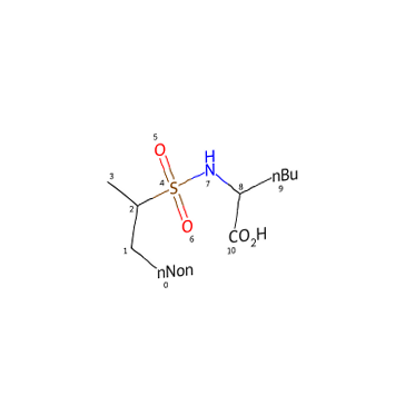 CCCCCCCCCCC(C)S(=O)(=O)NC(CCCC)C(=O)O